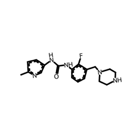 Cc1ccc(NC(=O)Nc2cccc(CN3CCNCC3)c2F)cn1